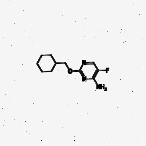 Nc1nc(OCC2CCCCC2)ncc1F